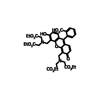 CCOC(=O)CN(CC(=O)OCC)Cc1c2oc3c(CN(CC(=O)OCC)CC(=O)OCC)c(O)ccc3c(-c3ccccc3C(=O)O)c-2ccc1=O